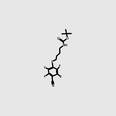 CC(C)(C)OC(=O)NCCCCSc1c(F)c(F)c(C#N)c(F)c1F